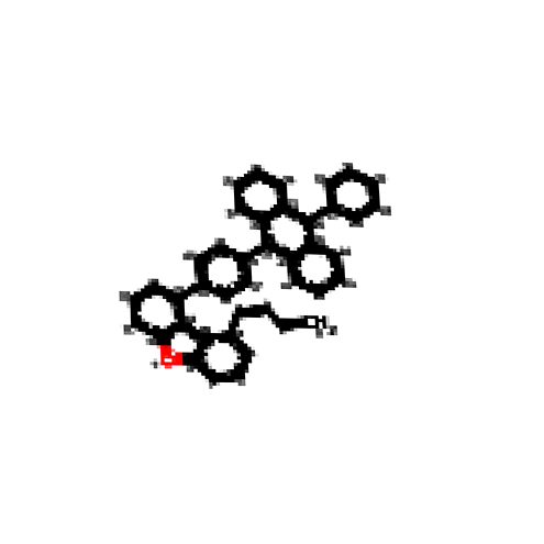 C=C/C=C\c1cccc2oc3cccc(-c4ccc(-c5c6ccccc6c(-c6ccccc6)c6ccccc56)cc4)c3c12